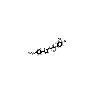 N#C/C(=C\c1ccc(-c2ccc(C(=O)O)cc2)o1)C(=O)Nc1ccc(C#N)c(C(F)(F)F)c1